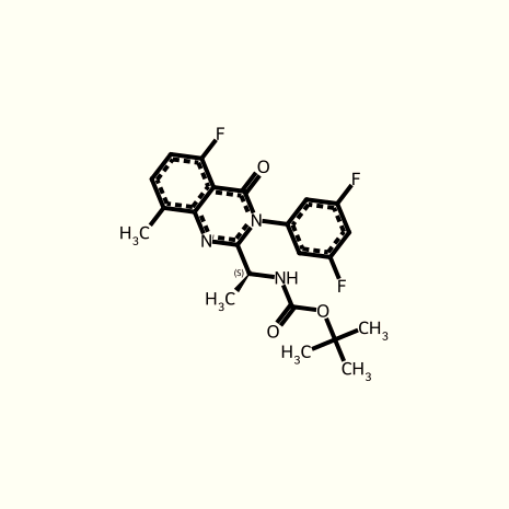 Cc1ccc(F)c2c(=O)n(-c3cc(F)cc(F)c3)c([C@H](C)NC(=O)OC(C)(C)C)nc12